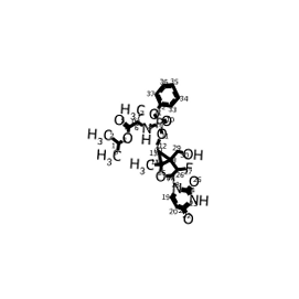 CC(C)OC(=O)[C@H](C)NP(=O)(OC[C@H]1C2(C)O[C@@H](n3ccc(=O)[nH]c3=O)C(F)C12CO)Oc1ccccc1